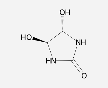 O=C1N[C@@H](O)[C@H](O)N1